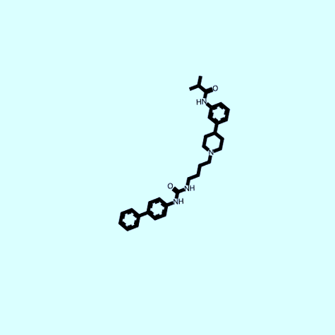 CC(C)C(=O)Nc1cccc(C2CCN(CCCCNC(=O)Nc3ccc(-c4ccccc4)cc3)CC2)c1